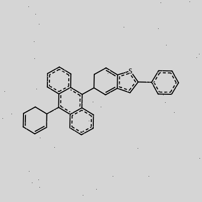 C1=CCC(c2c3ccccc3c(C3C=c4cc(-c5ccccc5)sc4=CC3)c3ccccc23)C=C1